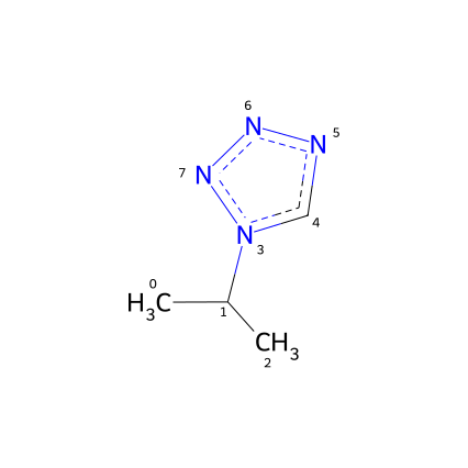 CC(C)n1cnnn1